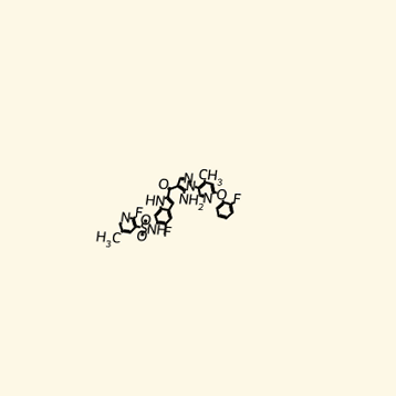 Cc1cnc(F)c(S(=O)(=O)Nc2cc3[nH]c(C(=O)c4cnn(-c5cnc(Oc6ccccc6F)cc5C)c4N)cc3cc2F)c1